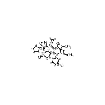 C=CC[C@@]1(CC)C[C@H](c2cccc(Cl)c2)[C@@H](c2ccc(Cl)cc2)N([C@H](CNS(=O)(=O)C2CCCC2)C2CC2)C1=O